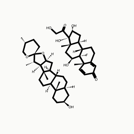 C[C@@H]1CC[C@@]2(OC1)O[C@H]1C[C@H]3[C@@H]4CC[C@H]5C[C@@H](O)CC[C@]5(C)[C@H]4CC[C@]3(C)[C@H]1[C@@H]2C.C[C@]12C=CC(=O)C=C1CC[C@H]1[C@@H]3C[C@@H](O)[C@](O)(C(=O)CO)[C@@]3(C)C[C@H](O)[C@@]12F